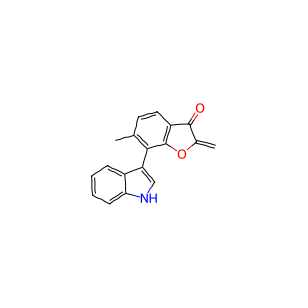 C=C1Oc2c(ccc(C)c2-c2c[nH]c3ccccc23)C1=O